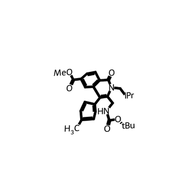 COC(=O)c1ccc2c(=O)n(CC(C)C)c(CNC(=O)OC(C)(C)C)c(-c3ccc(C)cc3)c2c1